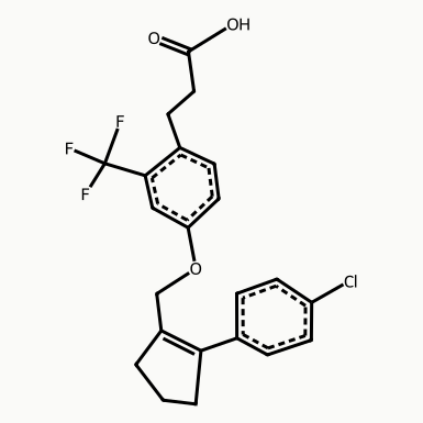 O=C(O)CCc1ccc(OCC2=C(c3ccc(Cl)cc3)CCC2)cc1C(F)(F)F